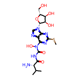 CSc1nc(N(O)C(=O)NC(=O)[C@@H](N)C(C)C)c2ncn([C@@H]3O[C@H](CO)[C@@H](O)[C@H]3O)c2n1